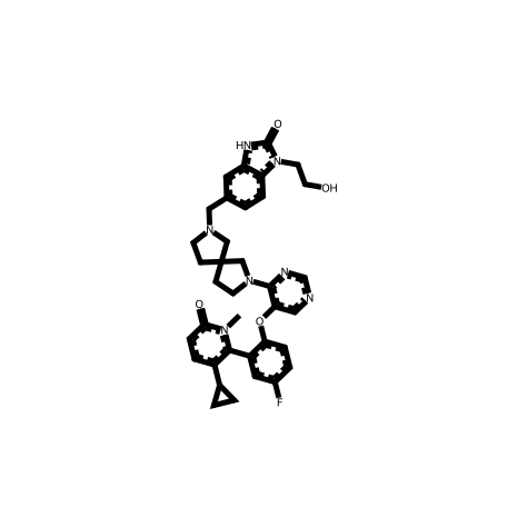 Cn1c(-c2cc(F)ccc2Oc2cncnc2N2CCC3(CCN(Cc4ccc5c(c4)[nH]c(=O)n5CCO)C3)C2)c(C2CC2)ccc1=O